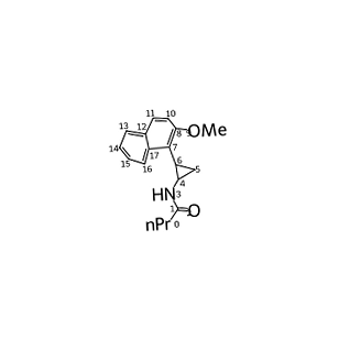 CCCC(=O)NC1CC1c1c(OC)ccc2ccccc12